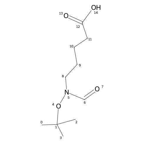 CC(C)(C)ON(C=O)CCCCC(=O)O